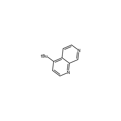 CC(C)(C)c1ccnc2cnccc12